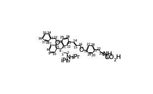 CC(C)N(CC[C@H](c1ccccc1)c1cc(C=CCOc2ccc(CCNC(=O)O)cc2)ccc1OCc1ccccc1)C(C)C